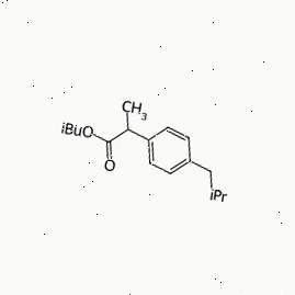 CC(C)COC(=O)C(C)c1ccc(CC(C)C)cc1